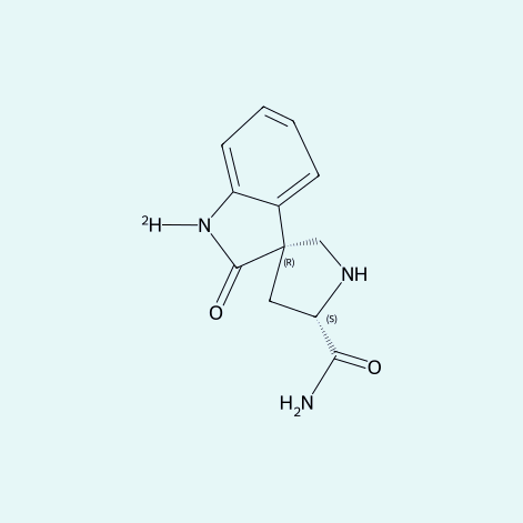 [2H]N1C(=O)[C@@]2(CN[C@H](C(N)=O)C2)c2ccccc21